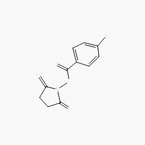 O=C(ON1C(=O)CCC1=O)c1ccc([131I])cc1